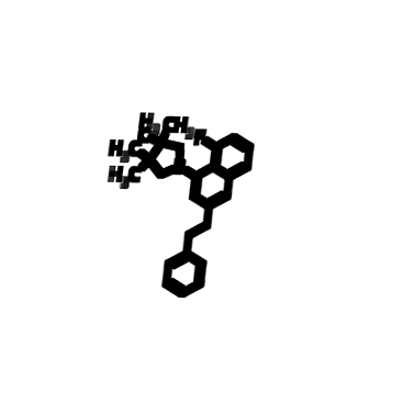 CC1(C)CB(c2cc(CCc3ccccc3)cc3cccc(F)c23)CC1(C)C